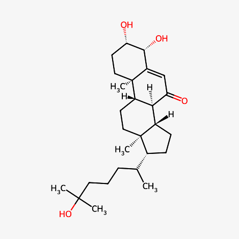 CC(CCCC(C)(C)O)[C@H]1CC[C@H]2[C@@H]3C(=O)C=C4[C@@H](O)[C@@H](O)CC[C@]4(C)[C@H]3CC[C@]12C